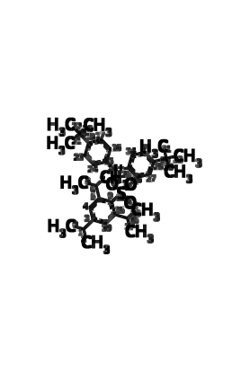 CC(C)c1cc(C(C)C)c(S(=O)(=O)O[I+](c2ccc(C(C)(C)C)cc2)c2ccc(C(C)(C)C)cc2)c(C(C)C)c1